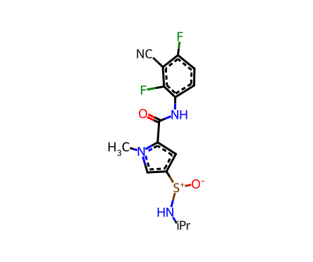 CC(C)N[S+]([O-])c1cc(C(=O)Nc2ccc(F)c(C#N)c2F)n(C)c1